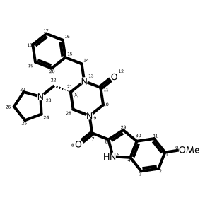 COc1ccc2[nH]c(C(=O)N3CC(=O)N(Cc4ccccc4)[C@@H](CN4CCCC4)C3)cc2c1